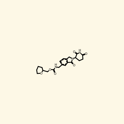 O=C1CCC(N2Cc3ccc(CNC(=O)OCC4CCCCO4)cc3C2=O)C(=O)N1